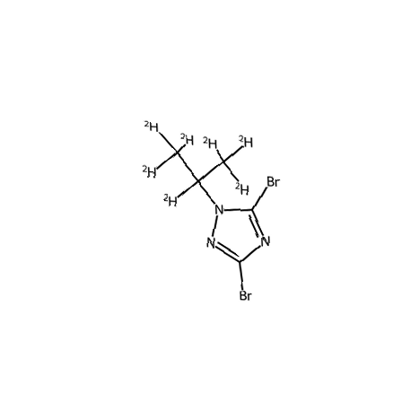 [2H]C([2H])([2H])C([2H])(n1nc(Br)nc1Br)C([2H])([2H])[2H]